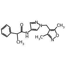 Cc1noc(C)c1Cn1cc(NC(=O)C(C)c2ccccc2)cn1